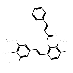 COc1cc(C=Cc2ccc(O)c(OC)c2NC(=O)C=Cc2ccccc2)cc(OC)c1OC